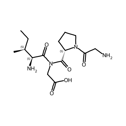 CC[C@H](C)[C@H](N)C(=O)N(CC(=O)O)C(=O)[C@@H]1CCCN1C(=O)CN